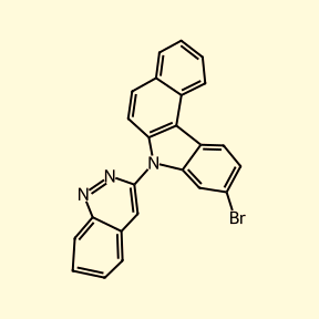 Brc1ccc2c3c4ccccc4ccc3n(-c3cc4ccccc4nn3)c2c1